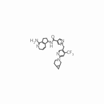 NC1=NCC=CC2=C1CC[C@H]2NC(=O)c1cnn(Cc2cnc(N3CCC4CC4C3)cc2C(F)(F)F)c1